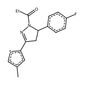 CCC(=O)N1N=C(c2cc(C)cs2)CC1c1ccc(F)cc1